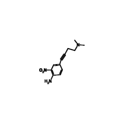 CN(C)CCC#Cc1ccc(N)c([N+](=O)[O-])c1